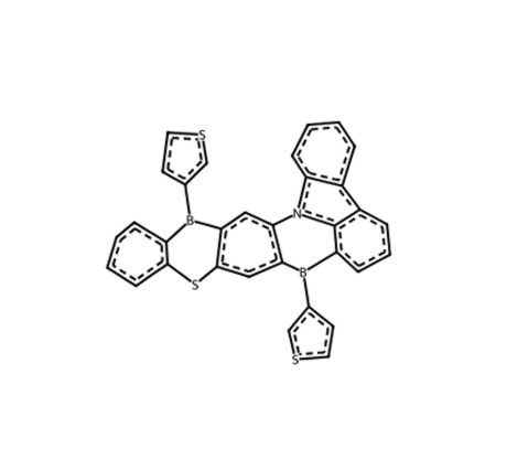 c1ccc2c(c1)Sc1cc3c(cc1B2c1ccsc1)-n1c2ccccc2c2cccc(c21)B3c1ccsc1